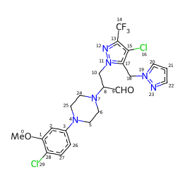 COc1cc(N2CCN(C(C=O)Cn3nc(C(F)(F)F)c(Cl)c3Cn3cccn3)CC2)ccc1Cl